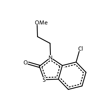 COCCn1c(=O)sc2cccc(Cl)c21